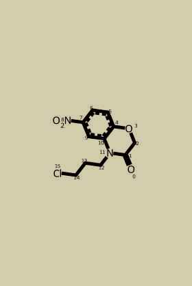 O=C1COc2ccc([N+](=O)[O-])cc2N1CCCCl